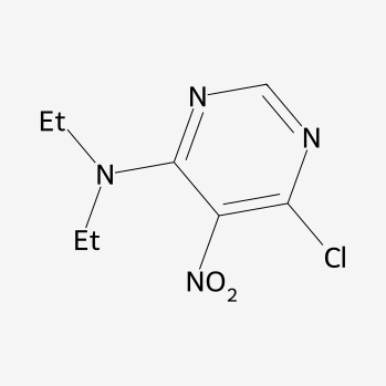 CCN(CC)c1ncnc(Cl)c1[N+](=O)[O-]